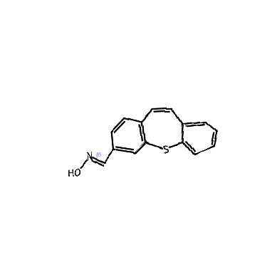 O/N=C/c1ccc2c(c1)Sc1ccccc1C=C2